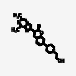 Cc1cn2cc(-c3cc4ccc(C5CCN(CCO)CC5)cc4oc3=O)nc2c(C)n1